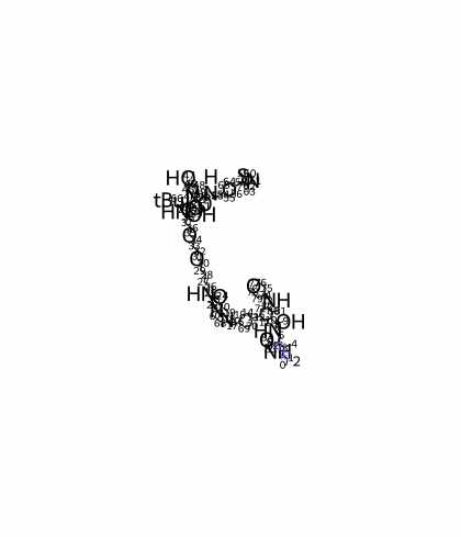 C/C=C/C(C)=C(/CNC(O)c1cc(C2=CC=C(CN3CCN(CC(=O)NCCCCCOCCCOCCC(O)N[C@H](C(=O)N4C[C@H](O)C[C@H]4C(=O)NCc4ccc(-c5scnc5C)cc4)C(C)(C)C)CC3)CC2)cc(NC2CCOCC2)c1C)C(N)=O